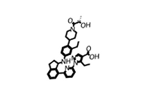 CCc1cc(NC2CCc3cccc(-c4cccc(-n5ncc(C(=O)O)c5CC)n4)c32)ccc1C1CCN(C(=O)[C@H](C)O)CC1